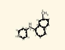 Cc1ccc2cccc(Nc3ccncc3)c2c1